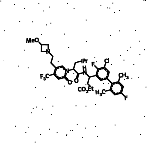 CCOC(=O)CC(NC(=O)C(CC(C)C)n1cc(CCN2CC(OC)C2)c(C(F)(F)F)cc1=O)c1cc(-c2c(C)cc(F)cc2C)cc(Cl)c1F